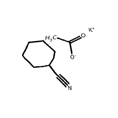 CC(=O)[O-].N#CC1CCCCC1.[K+]